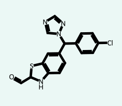 O=CC1Nc2ccc(C(c3ccc(Cl)cc3)n3cncn3)cc2S1